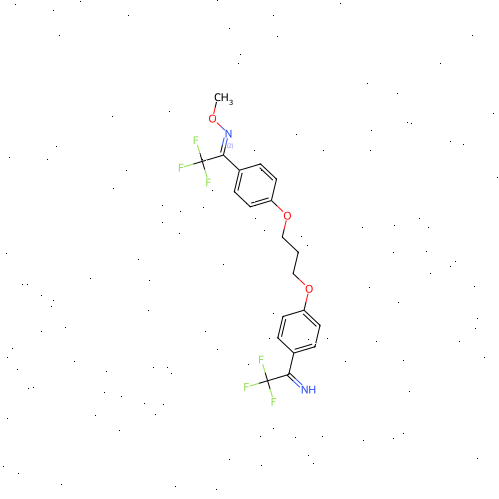 CO/N=C(/c1ccc(OCCCOc2ccc(C(=N)C(F)(F)F)cc2)cc1)C(F)(F)F